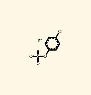 O=S(=O)([O-])Oc1ccc(Cl)cc1.[K+]